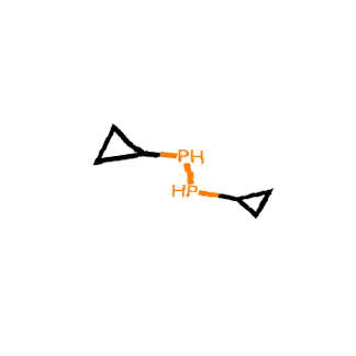 C1CC1PPC1CC1